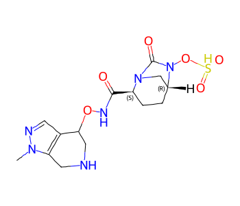 Cn1ncc2c1CNCC2ONC(=O)[C@@H]1CC[C@@H]2CN1C(=O)N2O[SH](=O)=O